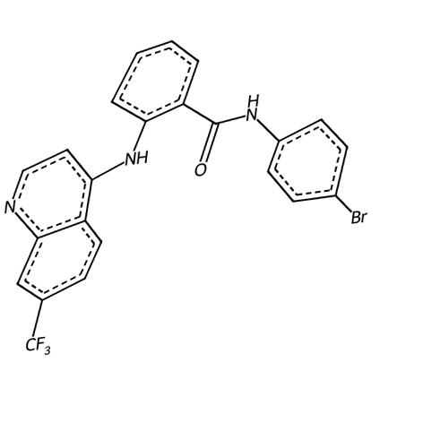 O=C(Nc1ccc(Br)cc1)c1ccccc1Nc1ccnc2cc(C(F)(F)F)ccc12